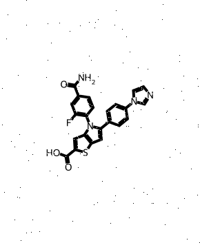 NC(=O)c1ccc(-n2c(-c3ccc(-n4ccnc4)cc3)cc3sc(C(=O)O)cc32)c(F)c1